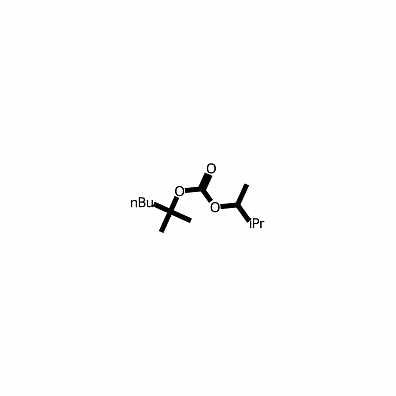 CCCCC(C)(C)OC(=O)OC(C)C(C)C